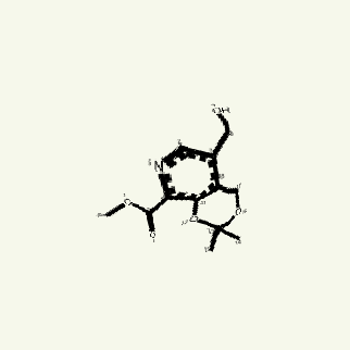 COC(=O)c1ncc(CO)c2c1OC(C)(C)OC2